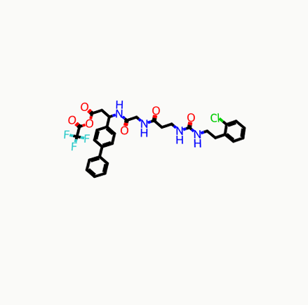 O=C(CCNC(=O)NCCc1ccccc1Cl)NCC(=O)NC(CC(=O)OC(=O)C(F)(F)F)c1ccc(-c2ccccc2)cc1